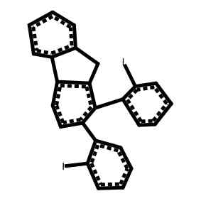 Ic1ccccc1-c1ccc2c(c1-c1ccccc1I)Cc1ccccc1-2